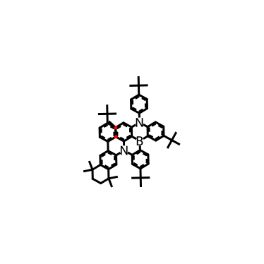 Cc1cc2c3c(c1)N(c1cc4c(cc1-c1ccc(C(C)(C)C)cc1)C(C)(C)CCC4(C)C)c1cc(C(C)(C)C)ccc1B3c1cc(C(C)(C)C)ccc1N2c1ccc(C(C)(C)C)cc1